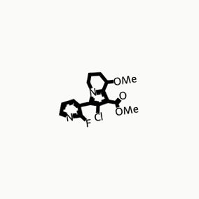 COC(=O)c1c(Cl)c(-c2cccnc2F)n2c1C(OC)CCC2